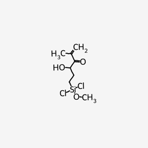 C=C(C)C(=O)C(O)CC[Si](Cl)(Cl)OC